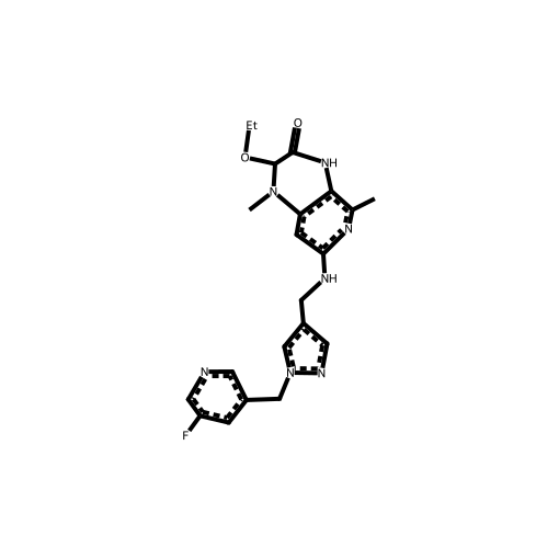 CCOC1C(=O)Nc2c(cc(NCc3cnn(Cc4cncc(F)c4)c3)nc2C)N1C